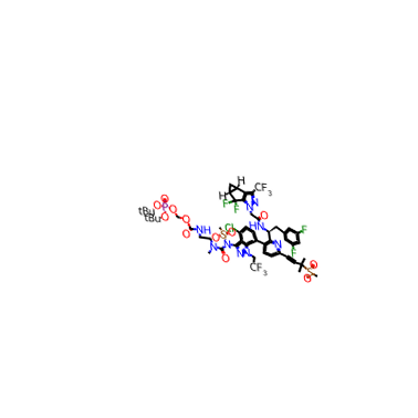 CN(CCNC(=O)OCOP(=O)(OC(C)(C)C)OC(C)(C)C)C(=O)N(c1nn(CC(F)(F)F)c2c(-c3ccc(C#CC(C)(C)S(C)(=O)=O)nc3[C@H](Cc3cc(F)cc(F)c3)NC(=O)Cn3nc(C(F)(F)F)c4c3C(F)(F)[C@@H]3C[C@H]43)ccc(Cl)c12)S(C)(=O)=O